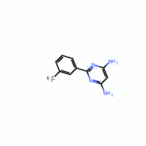 Nc1cc(N)nc(-c2cccc(C(F)(F)F)c2)n1